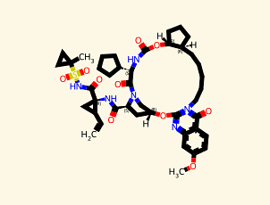 C=CC1C[C@]1(NC(=O)[C@@H]1C[C@@H]2CN1C(=O)[C@H](C1CCCC1)NC(=O)O[C@@H]1CCC[C@H]1CCCCCn1c(nc3cc(OC)ccc3c1=O)O2)C(=O)NS(=O)(=O)C1(C)CC1